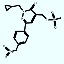 CS(=O)(=O)OCc1cc(-c2ccc(C[SH](=O)=O)cc2)nn(CC2CC2)c1=O